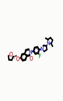 CC1CCC(C)N1C1CCN(c2ccc(-n3ccc4cc(OC[C@H]5CCCO5)ccc4c3=O)cc2F)C1